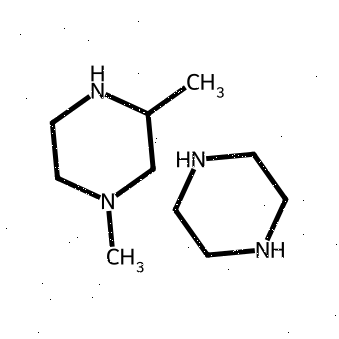 C1CNCCN1.CC1CN(C)CCN1